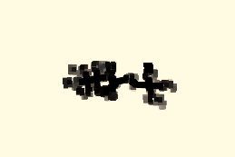 CC(C)(C)COC(=O)NC(C)(C)C(C)(C)C